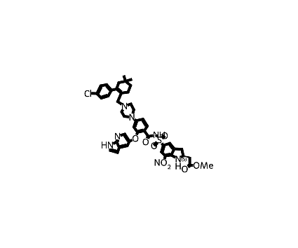 COC(=O)C[C@@H]1Cc2cc(S(=O)(=O)NC(=O)c3ccc(N4CCN(CC5=C(c6ccc(Cl)cc6)CC(C)(C)CC5)CC4)cc3Oc3cnc4[nH]ccc4c3)cc([N+](=O)[O-])c2N1